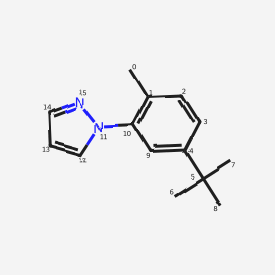 Cc1ccc(C(C)(C)C)cc1-n1cccn1